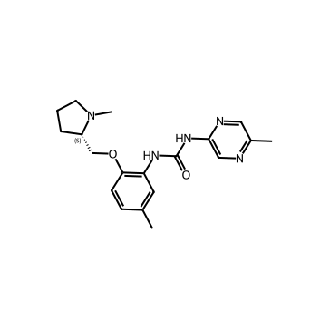 Cc1ccc(OC[C@@H]2CCCN2C)c(NC(=O)Nc2cnc(C)cn2)c1